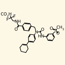 CS(=O)(=O)c1cccc(NC(=O)N(Cc2ccc(C(=O)NCC(F)(F)C(=O)O)cc2)c2ccc(C3=CCCCC3)cc2)c1